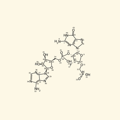 Nc1nc2c(ncn2[C@@H]2O[C@H](OC[PH](=O)O)[C@H](F)[C@@H]2OP(=O)(O)OC[C@H]2O[C@@H](n3cnc4c(N)ncnc43)[C@@H](O)[C@H]2O)c(=O)[nH]1